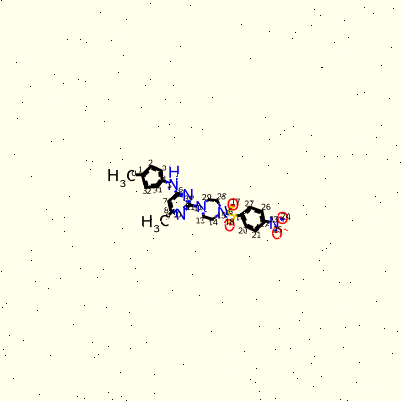 Cc1ccc(Nc2cc(C)nc(N3CCN(S(=O)(=O)c4ccc([N+](=O)[O-])cc4)CC3)n2)cc1